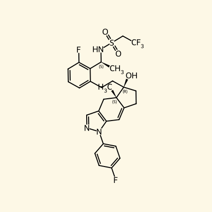 C[C@H](NS(=O)(=O)CC(F)(F)F)c1c(F)cccc1CC[C@]1(O)CCC2=Cc3c(cnn3-c3ccc(F)cc3)C[C@@]21C